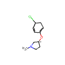 CN1CC[C@H](OC2=CCC(Cl)C=C2)C1